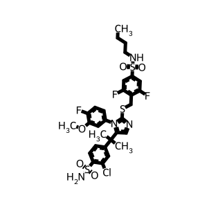 CCCCNS(=O)(=O)c1cc(F)c(CSc2ncc(C(C)(C)c3ccc(S(N)(=O)=O)c(Cl)c3)n2-c2ccc(F)c(OC)c2)c(F)c1